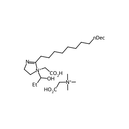 CCCCCCCCCCCCCCCCCCC1=NCC[N+]1(CC(=O)O)C(O)CC.C[N+](C)(C)CC(=O)O